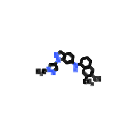 Cc1cc2c(cc1C#N)CCCC2Nc1ccc2cnn(-c3cnn(C)c3)c2c1